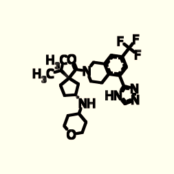 CC(C)[C@]1(C(=O)N2CCc3c(cc(C(F)(F)F)cc3-c3nnc[nH]3)C2)CC[C@@H](NC2CCOCC2)C1